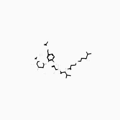 CC(=O)OCc1ccc(NC(=O)[C@H](C)NC(=O)[C@@H](NC(=O)CCOCCC(=O)C(C)C)C(C)C)c(O[C@@H]2O[C@H](C(=O)O)[C@@H](O)[C@H](O)[C@H]2O)c1